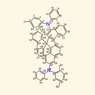 Cc1ccc(N(c2ccccc2)c2cc3c(c4ccccc24)-c2ccc4cc(N(c5ccccc5)c5cc(C)ccc5C)ccc4c2C32c3ccccc3-c3ccccc32)c(C)c1